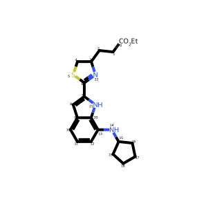 CCOC(=O)CCC1CSC(c2cc3cccc(NC4CCCC4)c3[nH]2)=N1